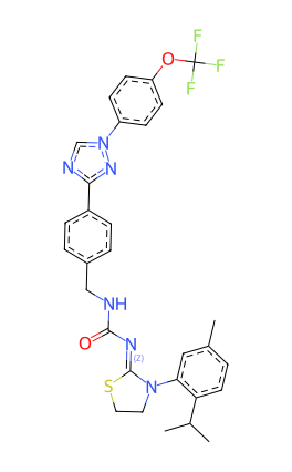 Cc1ccc(C(C)C)c(N2CCS/C2=N\C(=O)NCc2ccc(-c3ncn(-c4ccc(OC(F)(F)F)cc4)n3)cc2)c1